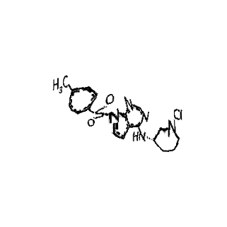 Cc1ccc(S(=O)(=O)n2ccc3c(N[C@H]4CCCN(Cl)C4)ncnc32)cc1